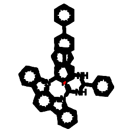 c1ccc(-c2ccc(-c3cccc(-n4c5ccccc5c5ccc6c7ccccc7n(C7=NC(c8ccccc8)NC(c8ccccc8)N7)c6c54)c3)cc2)cc1